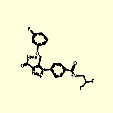 CNC(=O)c1nnn(-c2ccc(C(=O)NCC(F)F)cc2)c1COc1cccc(F)c1